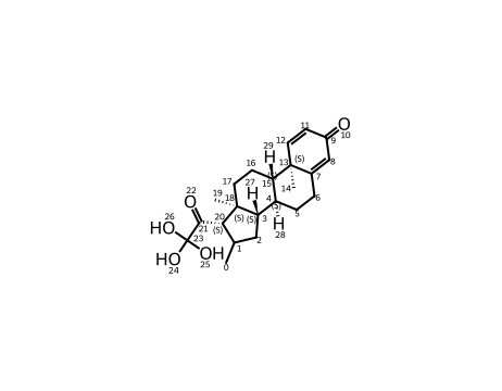 CC1C[C@H]2[C@@H]3CCC4=CC(=O)C=C[C@]4(C)[C@H]3CC[C@]2(C)[C@H]1C(=O)C(O)(O)O